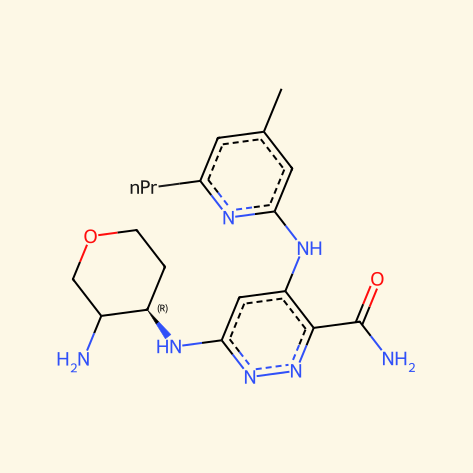 CCCc1cc(C)cc(Nc2cc(N[C@@H]3CCOCC3N)nnc2C(N)=O)n1